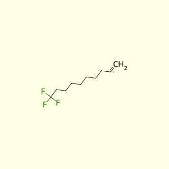 C=[C]CCCCCCCC(F)(F)F